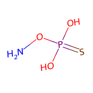 NOP(O)(O)=S